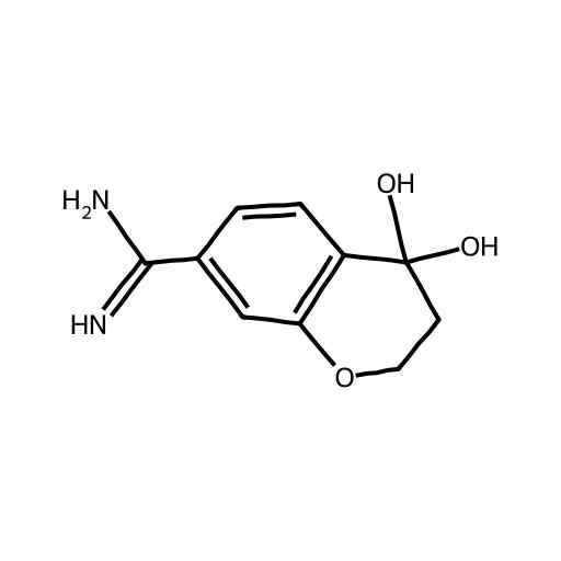 N=C(N)c1ccc2c(c1)OCCC2(O)O